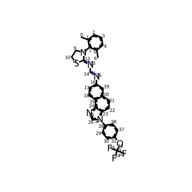 Cc1cccc(C)c1N1CCS/C1=N\C=N\c1ccc2c(ccc3c2ncn3-c2ccc(OC(F)(F)F)cc2)c1